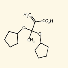 C=C(C(=O)O)C(C)(OC1CCCC1)OC1CCCC1